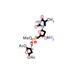 COP(=O)(OCC1O[C@@H](n2cc(C)c(=O)[nH]c2=O)C[C@H]1ON)OC[C@@H]1CC(OC(C)=O)OC1OC(C)=O